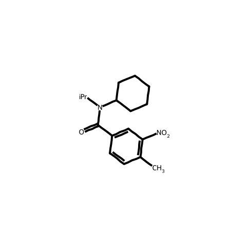 Cc1ccc(C(=O)N(C(C)C)C2CCCCC2)cc1[N+](=O)[O-]